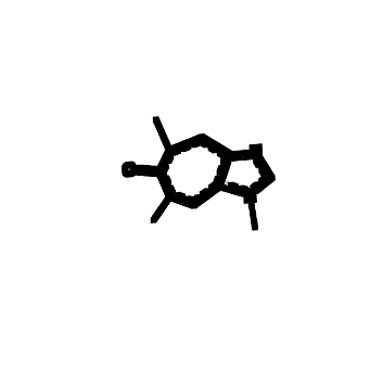 Cc1cc2ncn(C)c2cc(C)c1=O